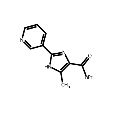 CCCC(=O)c1nc(-c2cccnc2)[nH]c1C